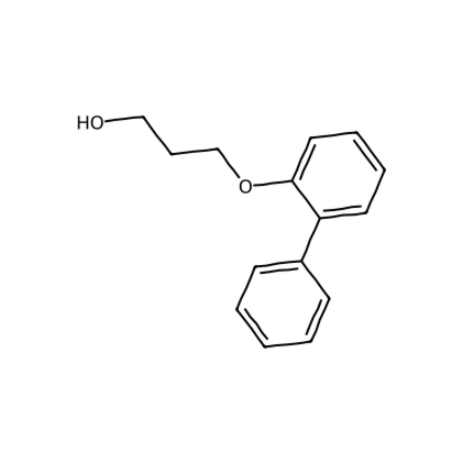 OCCCOc1ccccc1-c1ccccc1